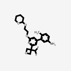 Cc1ccc(N)cc1-c1cc(OCCOC2CCCCO2)nc(C2(C(F)F)COC2)c1